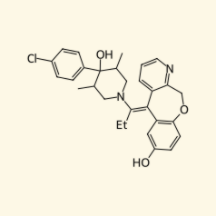 CC/C(=C1\c2cc(O)ccc2OCc2ncccc21)N1CC(C)C(O)(c2ccc(Cl)cc2)C(C)C1